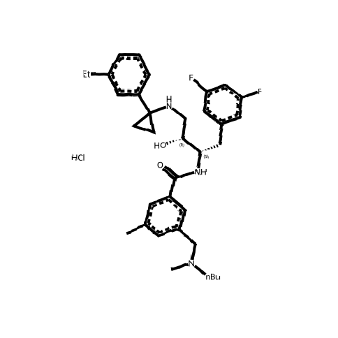 CCCCN(C)Cc1cc(C)cc(C(=O)N[C@@H](Cc2cc(F)cc(F)c2)[C@H](O)CNC2(c3cccc(CC)c3)CC2)c1.Cl